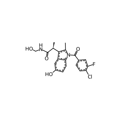 Cc1c([C@H](C)C(=O)NCO)c2cc(O)ccc2n1C(=O)c1ccc(Cl)c(F)c1